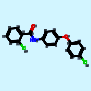 O=C(Nc1ccc(Oc2ccc(Cl)cc2)cc1)c1ccccc1Cl